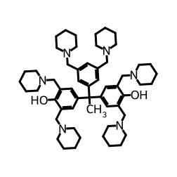 CC(c1cc(CN2CCCCC2)cc(CN2CCCCC2)c1)(c1cc(CN2CCCCC2)c(O)c(CN2CCCCC2)c1)c1cc(CN2CCCCC2)c(O)c(CN2CCCCC2)c1